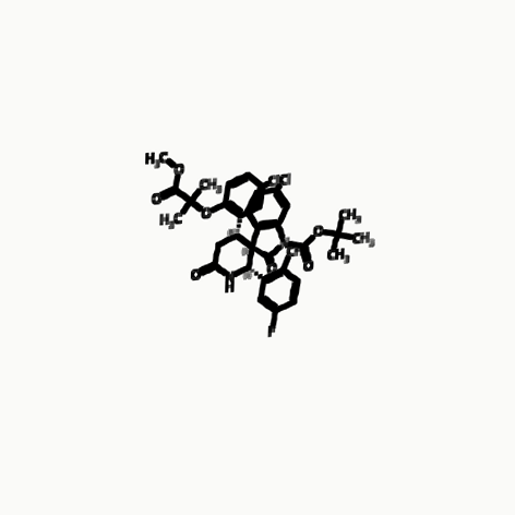 COC(=O)C(C)(C)Oc1ccc(Cl)cc1[C@H]1CC(=O)N[C@@H](c2cc(F)ccc2C)[C@]12C(=O)N(C(=O)OC(C)(C)C)c1cc(Cl)ccc12